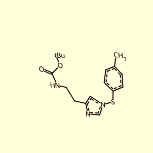 Cc1ccc(Sn2cnc(CCNC(=O)OC(C)(C)C)c2)cc1